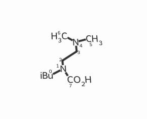 CCC(C)N(CCN(C)C)C(=O)O